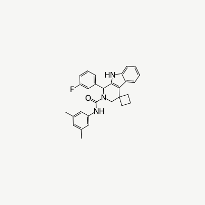 Cc1cc(C)cc(NC(=O)N2CC3(CCC3)c3c([nH]c4ccccc34)C2c2cccc(F)c2)c1